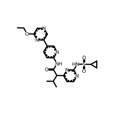 CCOc1cncc(-c2ccc(NC(=O)C(c3ccnc(NS(=O)(=O)C4CC4)n3)C(C)C)nc2)n1